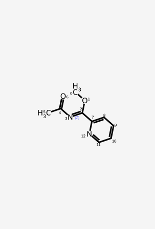 CO/C(=N\C(C)=O)c1ccccn1